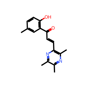 Cc1ccc(O)c(C(=O)/C=C/c2nc(C)c(C)nc2C)c1